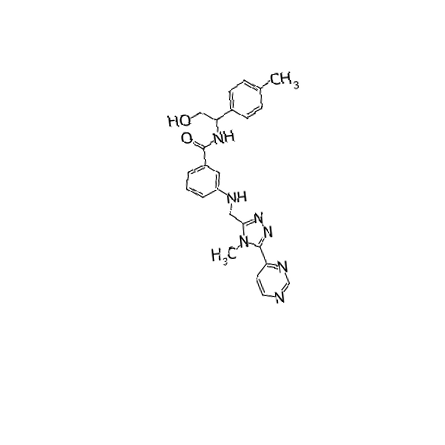 Cc1ccc(C(CO)NC(=O)c2cccc(NCc3nnc(-c4ccncn4)n3C)c2)cc1